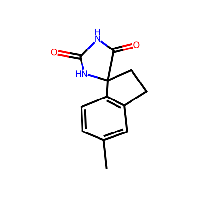 Cc1ccc2c(c1)CCC21NC(=O)NC1=O